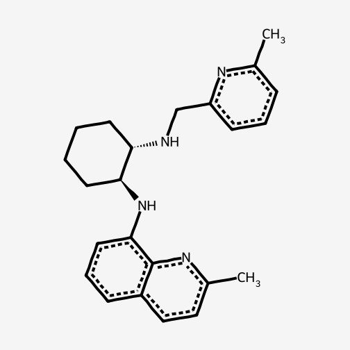 Cc1cccc(CN[C@H]2CCCC[C@@H]2Nc2cccc3ccc(C)nc23)n1